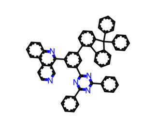 c1ccc(-c2nc(-c3ccccc3)nc(-c3cc(-c4cccc5c4-c4ccccc4C5(c4ccccc4)c4ccccc4)cc(-c4nc5ccccc5c5ccncc45)c3)n2)cc1